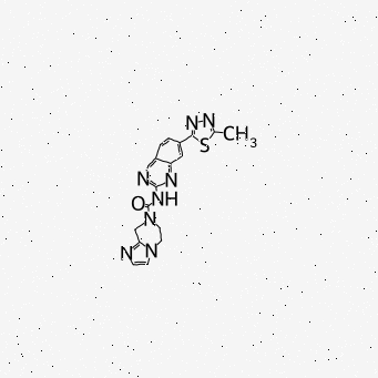 Cc1nnc(-c2ccc3cnc(NC(=O)N4CCn5ccnc5C4)nc3c2)s1